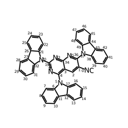 [C-]#[N+]c1cc2c(-n3c4ccccc4c4ccccc43)nc(-n3c4ccccc4c4ccccc43)nc2nc1-n1c2ccccc2c2ccccc21